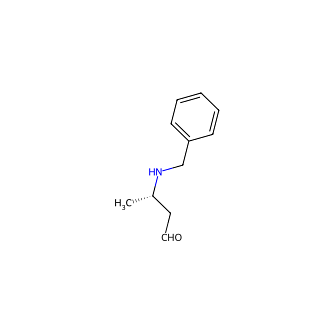 C[C@@H](CC=O)NCc1ccccc1